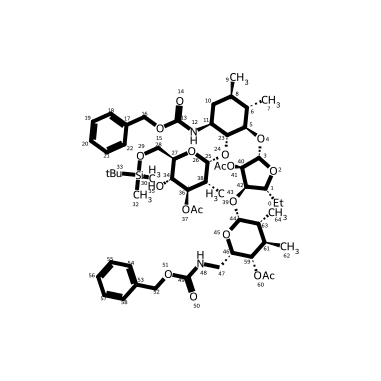 CC[C@H]1O[C@@H](O[C@@H]2[C@@H](C)[C@H](C)C[C@H](NC(=O)OCc3ccccc3)[C@H]2O[C@H]2O[C@H](CO[Si](C)(C)C(C)(C)C)[C@@H](O)[C@H](OC(C)=O)[C@H]2C)[C@H](OC(C)=O)[C@@H]1O[C@H]1O[C@@H](CNC(=O)OCc2ccccc2)[C@@H](OC(C)=O)[C@H](C)[C@H]1C